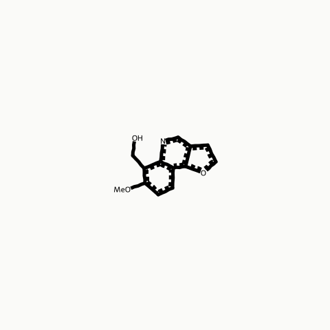 COc1ccc2c(ncc3ccoc32)c1CO